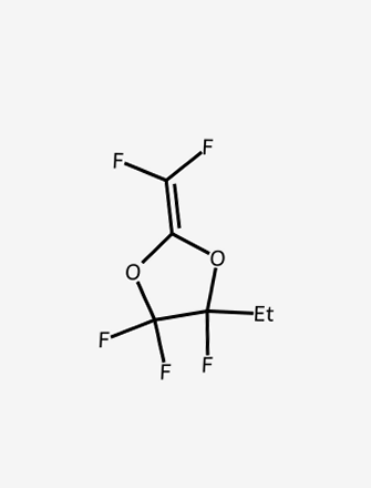 CCC1(F)OC(=C(F)F)OC1(F)F